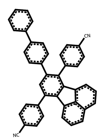 N#Cc1ccc(-c2cc(-c3ccc(-c4ccccc4)cc3)c(-c3ccc(C#N)cc3)c3c2-c2cccc4cccc-3c24)cc1